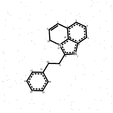 C1=Cc2cccc3nc(CCc4ccccc4)n(c23)C1